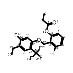 CCC(=O)Oc1cccc(I)c1COc1cc(F)c(CC)cc1C(F)(F)F